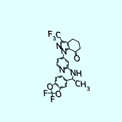 C[C@H](Nc1cc(-n2nc(C(F)(F)F)c3c2C(=O)CCC3)ccn1)c1ccc2c(c1)OC(F)(F)O2